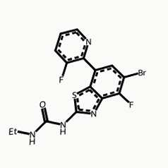 CCNC(=O)Nc1nc2c(F)c(Br)cc(-c3ncccc3F)c2s1